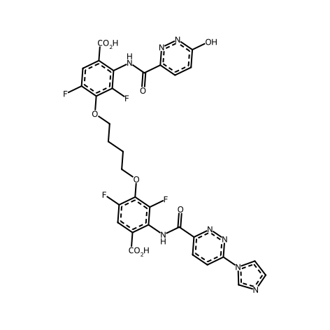 O=C(Nc1c(C(=O)O)cc(F)c(OCCCCOc2c(F)cc(C(=O)O)c(NC(=O)c3ccc(-n4ccnc4)nn3)c2F)c1F)c1ccc(O)nn1